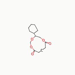 O=C1CCCC(=O)OCC(C2CCCCC2)OCO1